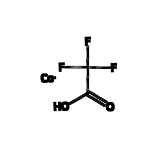 O=C(O)C(F)(F)F.[Co]